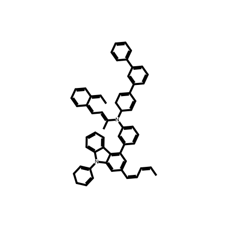 C/C=C\C=C/c1cc(-c2cccc(N(/C(C)=C/C=c3/cccc/c3=C/C)C3C=CC(c4cccc(-c5ccccc5)c4)=CC3)c2)c2c3ccccc3n(C3=CCCC=C3)c2c1